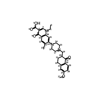 CCn1cc(C(=O)O)c(=O)c2cc(F)c(N3CCN(CC4CCc5cc(OC)ccc5C4=O)CC3)cc21